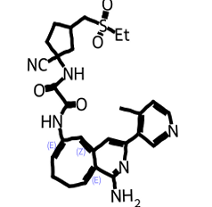 CCS(=O)(=O)CC1CCC(C#N)(NC(=O)C(=O)NC2=C\CC/C=c3/c(N)nc(-c4cnccc4C)c/c3=C/2)C1